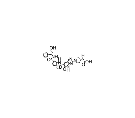 O=C(O)NC1CCN(c2ncc3cc(C(=O)Nc4cc(C(=O)NC(CCO)c5ccccc5)ccc4Cl)c(=O)[nH]c3n2)CC1